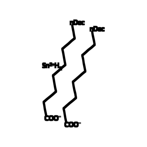 CCCCCCCCCCCCCCCCC(=O)[O-].CCCCCCCCCCCCCCCCC(=O)[O-].[SnH2+2]